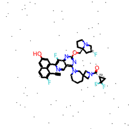 C#Cc1c(F)ccc2cc(O)cc(-c3ncc4c(N5CCCCC6(CN(C(=O)[C@@H]7CC7(F)F)C6)C5)nc(OC[C@@]56CCCN5C[C@H](F)C6)nc4c3F)c12